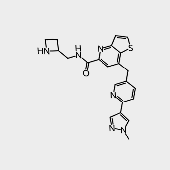 Cn1cc(-c2ccc(Cc3cc(C(=O)NCC4CCN4)nc4ccsc34)cn2)cn1